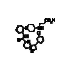 O=C(O)CCNC1CCN(c2ccccc2NC(=O)c2ccn3ncc(-c4cccc(Cl)c4)c3n2)CC1